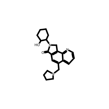 O=C1c2cc(CN3CCCC3)c3cccnc3c2CN1C1CCCCC1O